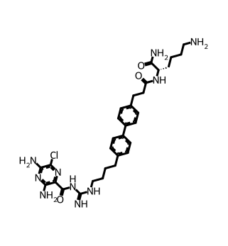 N=C(NCCCCc1ccc(-c2ccc(CCC(=O)N[C@@H](CCCCN)C(N)=O)cc2)cc1)NC(=O)c1nc(Cl)c(N)nc1N